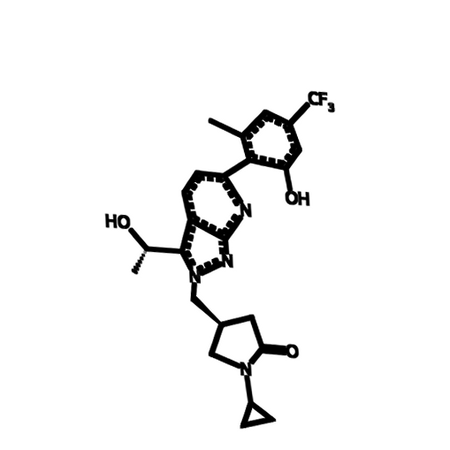 Cc1cc(C(F)(F)F)cc(O)c1-c1ccc2c([C@H](C)O)n(C[C@H]3CC(=O)N(C4CC4)C3)nc2n1